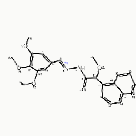 COc1cc(/C=N/NC(=O)C(OC)c2cccc3ncccc23)cc(OC)c1OC